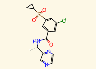 C[C@H](NC(=O)c1cc(Cl)cc(S(=O)(=O)C2CC2)c1)c1cnccn1